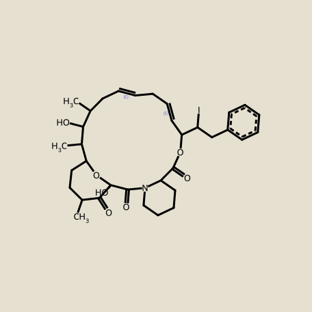 CC1CCC2OC(O)(C1=O)C(=O)N1CCCCC1C(=O)OC(C(I)Cc1ccccc1)/C=C/C/C=C/CC(C)C(O)C2C